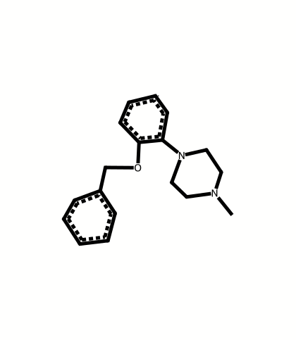 CN1CCN(c2c[c]ccc2OCc2ccccc2)CC1